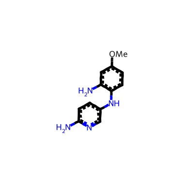 COc1ccc(Nc2ccc(N)nc2)c(N)c1